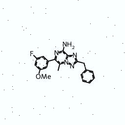 COc1cc(F)cc(-c2nc(N)c3nc(Cc4ccccc4)nn3c2C)c1